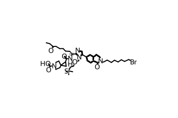 CCC(=O)CCCCC[C@H](NC(=O)C1CC12CCN(C(=O)O)CC2)c1ncc(-c2ccc3c(=O)n(CCCCCCCCBr)ccc3c2)n1COCC[Si](C)(C)C